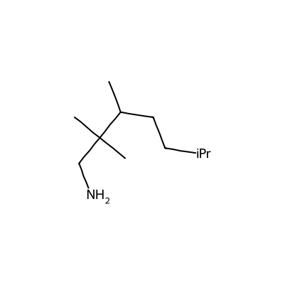 CC(C)CCC(C)C(C)(C)CN